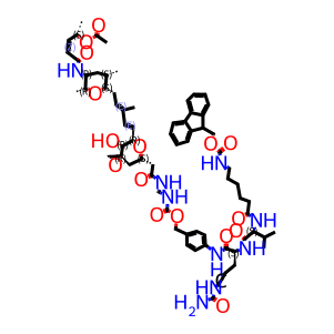 CC(=O)O[C@@H](C)/C=C\C(=O)N[C@@H]1C[C@H](C)[C@H](C/C=C(C)/C=C/[C@H]2O[C@H](CC(=O)NCNC(=O)OCc3ccc(NC(=O)[C@H](CCCNC(N)=O)NC(=O)[C@@H](NC(=O)CCCCCNC(=O)OCC4c5ccccc5-c5ccccc54)C(C)C)cc3)C[C@@]3(CO3)[C@@H]2O)O[C@@H]1C